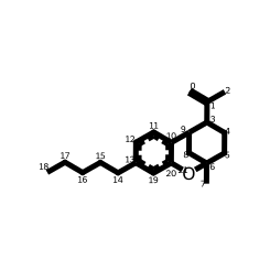 C=C(C)C1CCC2(C)CC1c1ccc(CCCCC)cc1O2